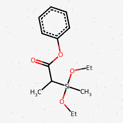 CCO[Si](C)(OCC)C(C)C(=O)Oc1ccccc1